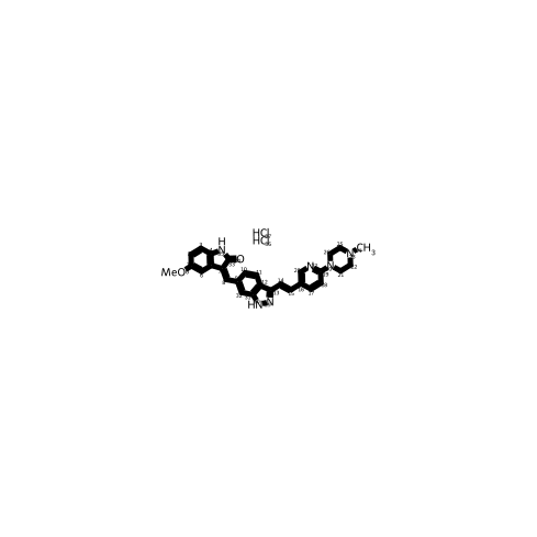 COc1ccc2c(c1)C(=Cc1ccc3c(C=Cc4ccc(N5CCN(C)CC5)nc4)n[nH]c3c1)C(=O)N2.Cl.Cl